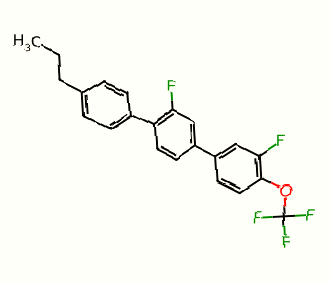 CCCc1ccc(-c2ccc(-c3ccc(OC(F)(F)F)c(F)c3)cc2F)cc1